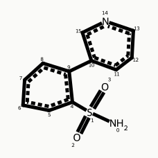 NS(=O)(=O)c1ccccc1-c1cccnc1